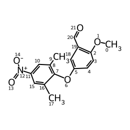 COc1ccc(Oc2c(C)cc([N+](=O)[O-])cc2C)cc1C=O